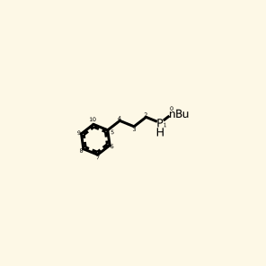 CCCCPCCCc1ccccc1